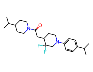 CC(C)c1ccc(N2CCC(CC(=O)N3CCC(C(C)C)CC3)C(F)(F)C2)cc1